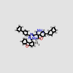 Cc1oc2cc(-c3ccc4ccccc4c3)ccc2c1/C(=C\N)C1=NC(c2ccc(-c3ccccc3)cc2)=NC(c2cccc3oc4ccccc4c23)N1